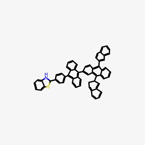 C1=c2ccccc2=CC(c2c3ccccc3c(-c3ccc4ccccc4c3)c3ccc(-c4c5ccccc5c(-c5ccc(C6Nc7ccccc7S6)cc5)c5ccccc45)cc23)C1